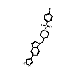 O=S(=O)(c1ccc(F)cc1)N1CCC(Cn2ccc3cc(-c4cn[nH]c4)ccc32)CC1